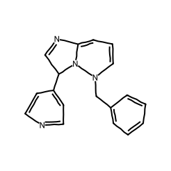 C1=CN(Cc2ccccc2)N2C(=C1)N=CC2c1ccncc1